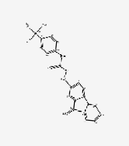 O=C(COc1ccc2c(c1)C(=O)c1ccccc1-2)Nc1ccc(C(F)(F)F)cc1